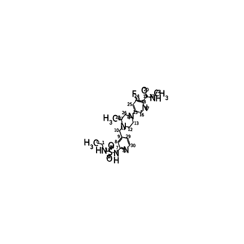 CCNS(=O)(=O)Nc1cc(CN2CCN(c3cnc(C(=O)NC)c(F)c3)CC2C)ccn1